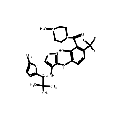 Cc1ccc([C@H](Nc2nsnc2Nc2ccc(C(F)(F)F)c(C(=O)N3CCN(C)CC3)c2O)C(C)(C)C)o1